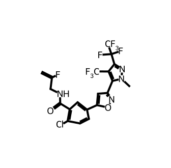 C=C(F)CNC(=O)c1cc(-c2cc(-c3c(C(F)(F)F)c(C(F)(F)C(F)(F)F)nn3C)no2)ccc1Cl